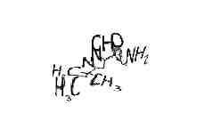 CN1N=C(C(C)(C)C)CC1C(=O)CN